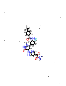 CN(C)C(=O)C(=O)c1ccc(NC2C=C(c3ccc(F)c(NC(=O)c4ccc(C(C)(C)C)cc4)c3)N(C)NC2=O)nc1